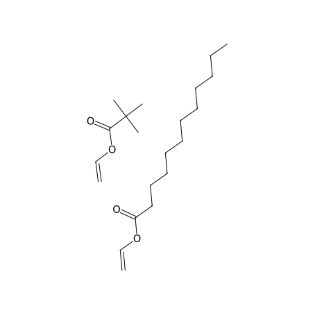 C=COC(=O)C(C)(C)C.C=COC(=O)CCCCCCCCCCC